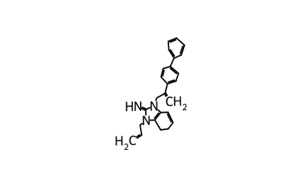 C=CCn1c2c(n(CC(=C)c3ccc(-c4ccccc4)cc3)c1=N)C=CCC2